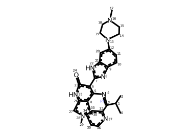 CC(C)/C(=N/c1c(-c2nc3ccc(N4CCN(C)CC4)cc3[nH]2)c(=O)[nH]c2cn(C)nc12)c1ccccn1